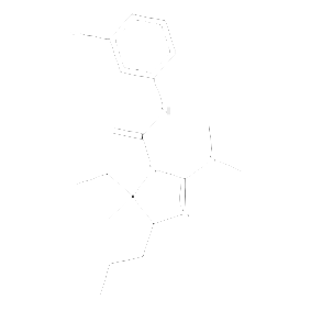 CCCC1N=C(N(C)C)N(C(=S)Nc2cccc(Br)c2)C1(C)CC